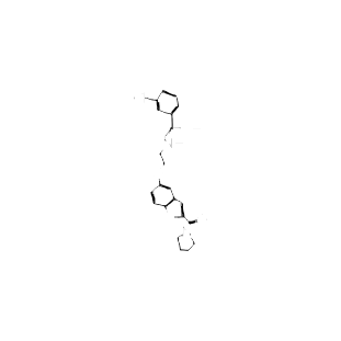 O=C(c1cc2cc(OCCNC[C@H](O)c3cccc(Cl)c3)ccc2o1)N1CCCC1